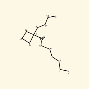 CCCCCC[N]C1(CCCC)CCC1